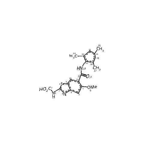 COc1cc2nc(NC(=O)O)sc2cc1C(=O)Nc1c(C)cc(C)cc1C